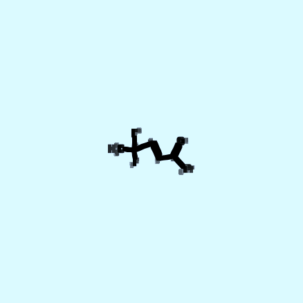 CC(C)C(=O)/C=C/C(C)(F)F